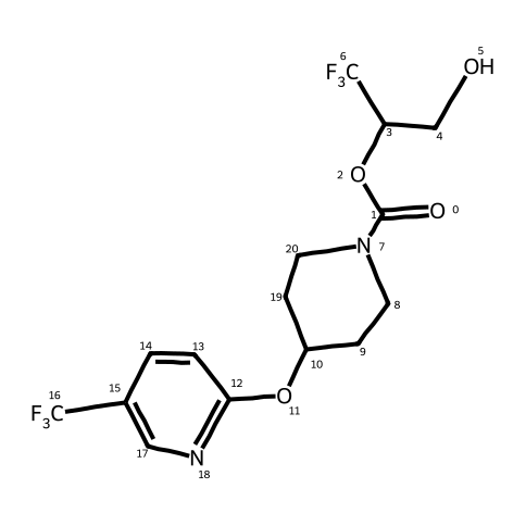 O=C(OC(CO)C(F)(F)F)N1CCC(Oc2ccc(C(F)(F)F)cn2)CC1